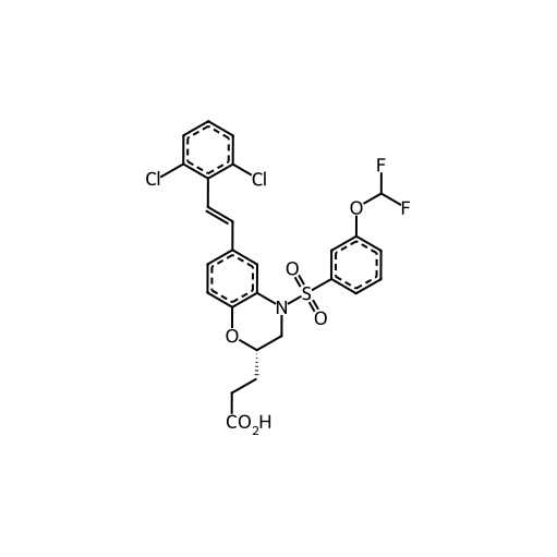 O=C(O)CC[C@H]1CN(S(=O)(=O)c2cccc(OC(F)F)c2)c2cc(/C=C/c3c(Cl)cccc3Cl)ccc2O1